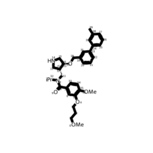 COCCCOc1cc(C(=O)N(C[C@@H]2CNC[C@H]2OCc2cccc(-c3cccc(C)c3)c2)C(C)C)ccc1OC